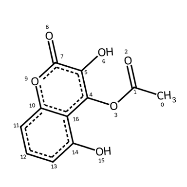 CC(=O)Oc1c(O)c(=O)oc2cccc(O)c12